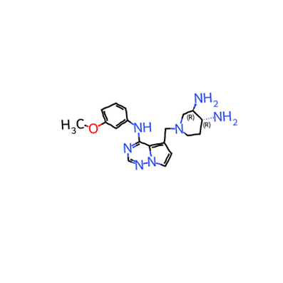 COc1cccc(Nc2ncnn3ccc(CN4CC[C@@H](N)[C@H](N)C4)c23)c1